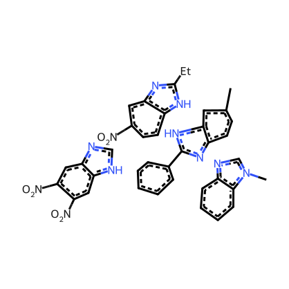 CCc1nc2cc([N+](=O)[O-])ccc2[nH]1.Cc1ccc2nc(-c3ccccc3)[nH]c2c1.Cn1cnc2ccccc21.O=[N+]([O-])c1cc2nc[nH]c2cc1[N+](=O)[O-]